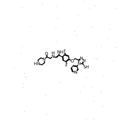 N/C(=C\NCC(=O)N1CCNCC1)c1cc(F)c(OCc2nnc(S)n2-c2cccnc2)cc1F